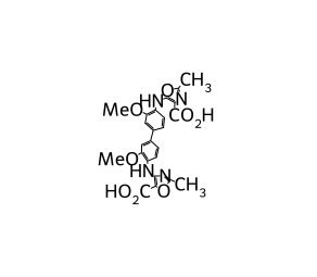 COc1cc(-c2ccc(Nc3oc(C)nc3C(=O)O)c(OC)c2)ccc1Nc1nc(C)oc1C(=O)O